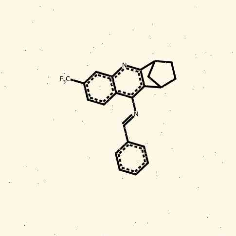 FC(F)(F)c1ccc2c(N=Cc3ccccc3)c3c(nc2c1)C1CCC3C1